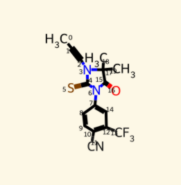 CC#CN1C(=S)N(c2ccc(C#N)c(C(F)(F)F)c2)C(=O)C1(C)C